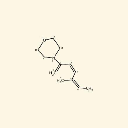 C=C(/C=C\C(C)=C/C)N1CCOCC1